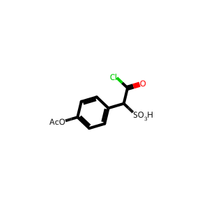 CC(=O)Oc1ccc(C(C(=O)Cl)S(=O)(=O)O)cc1